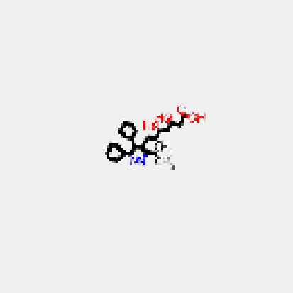 CC(C)c1nnc(-c2ccccc2)c(-c2ccccc2)c1/C=C/[C@@H](O)C[C@@H](O)CC(=O)O